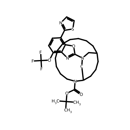 CC(C)(C)OC(=O)N1CCCCCCCCCCC2CCCC1CN(c1nc3c(OC(F)(F)F)ccc(-c4nccs4)c3o1)C2